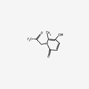 Cc1c(C#N)ccc(=O)n1CC(=O)C(F)(F)F